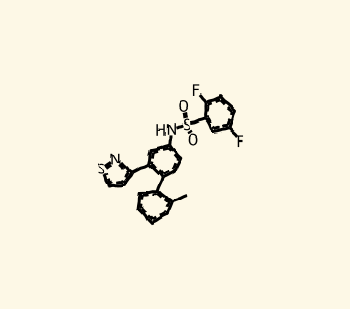 Cc1ccccc1-c1ccc(NS(=O)(=O)c2cc(F)ccc2F)cc1-c1ccsn1